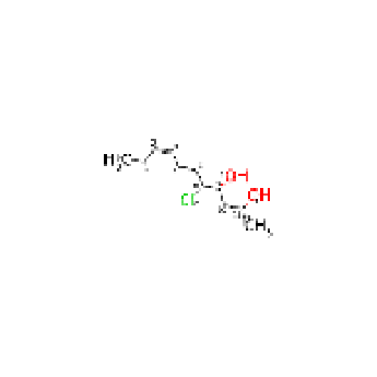 CC/C=C\CC[C@@H](Cl)[C@@H](O)C[C@@H](C)O